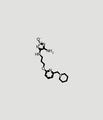 Nc1n[s+]([O-])nc1NCCCOc1cccc(CN2CCCCC2)n1